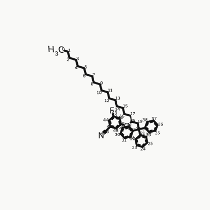 CCCCCCCCCCCCCCCCCC[C@@H](CC(c1ccccc1)(c1ccccc1)c1ccccc1)Oc1cc(F)cc(C#N)c1